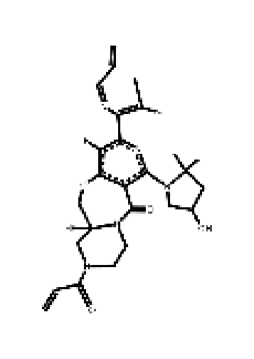 C=C/C=N\C(=C(/C)F)c1nc(N2CC(O)CC2(C)C)c2c(c1F)OC[C@H]1CN(C(=O)C=C)CCN1C2=O